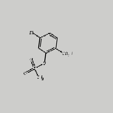 CS(=O)(=O)Oc1cc(Cl)ccc1C(=O)O